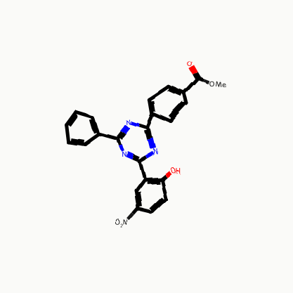 COC(=O)c1ccc(-c2nc(-c3ccccc3)nc(-c3cc([N+](=O)[O-])ccc3O)n2)cc1